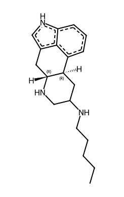 CCCCCNC1CN[C@@H]2Cc3c[nH]c4cccc(c34)[C@H]2C1